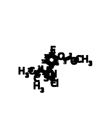 COCCOc1cc(-c2nc(Cl)sc2CC(C)C)ccc1F